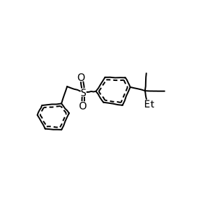 CCC(C)(C)c1ccc(S(=O)(=O)Cc2ccccc2)cc1